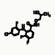 CC(O)CONC(=O)c1ccc(F)c(F)c1Nc1ccc(Cl)cc1F